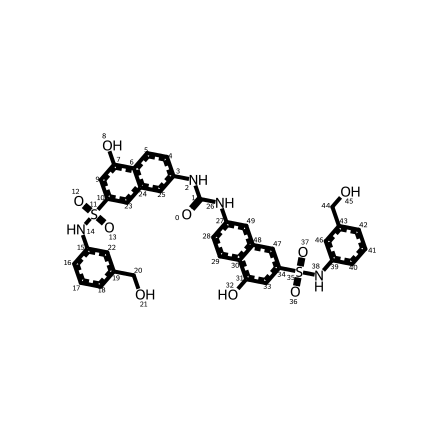 O=C(Nc1ccc2c(O)cc(S(=O)(=O)Nc3cccc(CO)c3)cc2c1)Nc1ccc2c(O)cc(S(=O)(=O)Nc3cccc(CO)c3)cc2c1